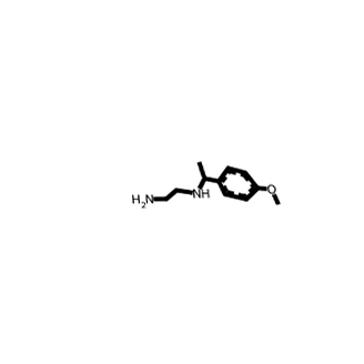 COc1ccc(C(C)NCCN)cc1